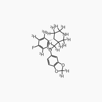 [2H]c1c([2H])c([C@@H]2C([2H])([2H])C([2H])([2H])NC([2H])([2H])C2([2H])C([2H])([2H])Oc2ccc3c(c2)OC([2H])([2H])O3)c([2H])c([2H])c1F